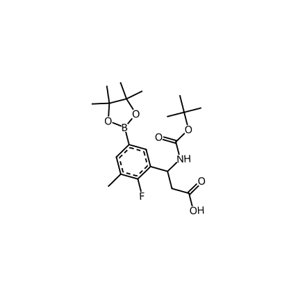 Cc1cc(B2OC(C)(C)C(C)(C)O2)cc(C(CC(=O)O)NC(=O)OC(C)(C)C)c1F